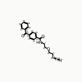 [N-]=[N+]=NCCOCCNC(=O)c1ccc(C(=O)c2ccccc2)cc1